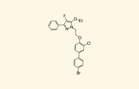 CCOc1c(F)c(-c2ccccc2)nn1CCOc1ccc(-c2ccc(Br)cc2)cc1Cl